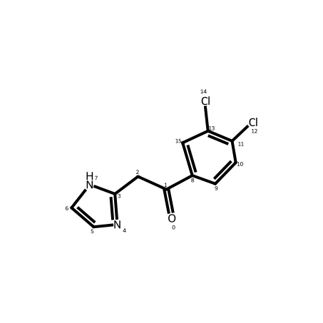 O=C(Cc1ncc[nH]1)c1ccc(Cl)c(Cl)c1